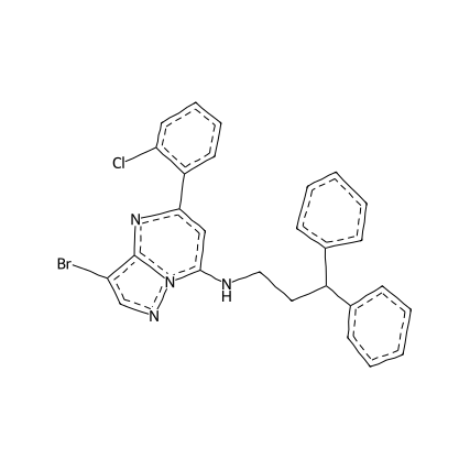 Clc1ccccc1-c1cc(NCCC(c2ccccc2)c2ccccc2)n2ncc(Br)c2n1